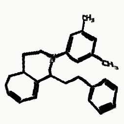 Cc1cc(C)cc(N2CCC3CC=CC=C3C2CCc2ccccc2)c1